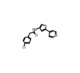 O=C(Cc1ccc(Cl)cc1)Nc1csc(-c2ccncc2)c1